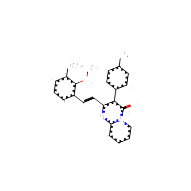 CCCCOc1c(/C=C/c2nc3ccccn3c(=O)c2-c2ccc(C#N)cc2)cccc1OC